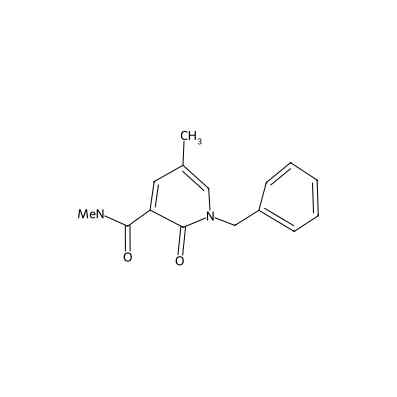 CNC(=O)c1cc(C)cn(Cc2ccccc2)c1=O